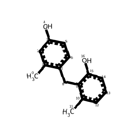 Cc1cc(O)ccc1Cc1c(C)cccc1O